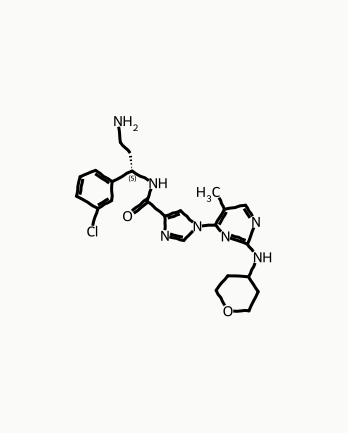 Cc1cnc(NC2CCOCC2)nc1-n1cnc(C(=O)N[C@@H](CCN)c2cccc(Cl)c2)c1